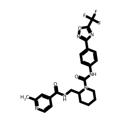 Cc1cc(C(=O)NCC2CCCCN2C(=O)Nc2ccc(-c3noc(C(F)(F)F)n3)cc2)ccn1